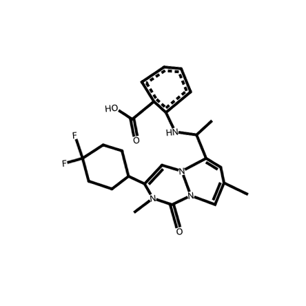 CC1=CN2C(=O)N(C)C(C3CCC(F)(F)CC3)=CN2C(C(C)Nc2ccccc2C(=O)O)=C1